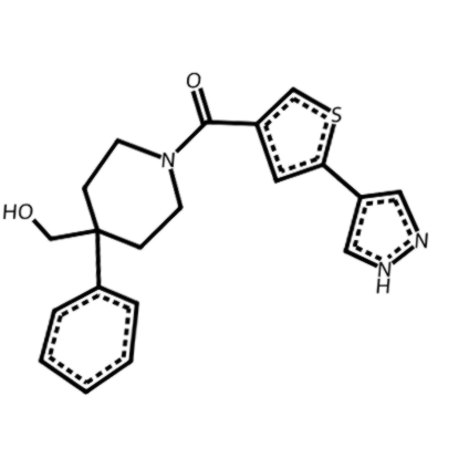 O=C(c1csc(-c2cn[nH]c2)c1)N1CCC(CO)(c2ccccc2)CC1